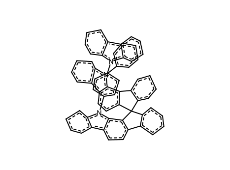 c1ccc(-n2c3ccccc3c3ccc4c(c32)-c2ccccc2C42c3ccccc3-c3ccc4c5ccccc5n(-c5ccc(-n6c7ccccc7c7ccccc76)cc5)c4c32)cc1